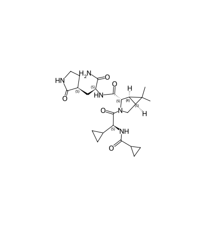 CC1(C)[C@@H]2[C@@H](C(=O)N[C@@H](C[C@@H]3CCNC3=O)C(N)=O)N(C(=O)[C@@H](NC(=O)C3CC3)C3CC3)C[C@@H]21